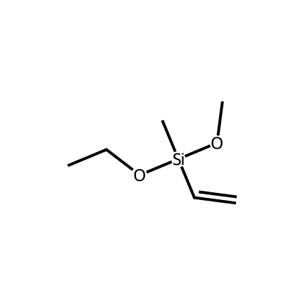 C=C[Si](C)(OC)OCC